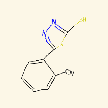 N#Cc1ccccc1-c1nnc(S)s1